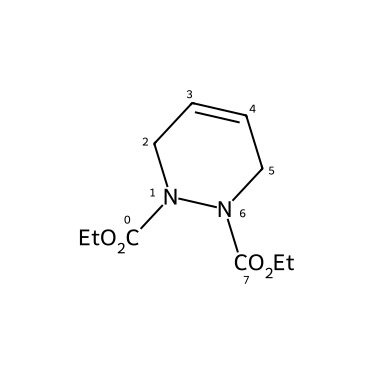 CCOC(=O)N1CC=CCN1C(=O)OCC